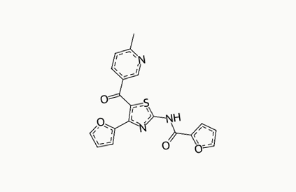 Cc1ccc(C(=O)c2sc(NC(=O)c3ccco3)nc2-c2ccco2)cn1